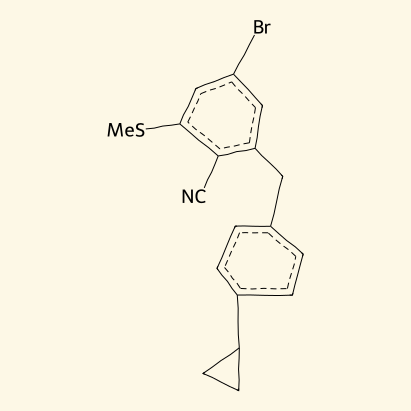 CSc1cc(Br)cc(Cc2ccc(C3CC3)cc2)c1C#N